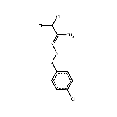 C/C(=N\NSc1ccc(C)cc1)C(Cl)Cl